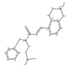 CN(C)CCN(Cc1ccccc1)C(=O)/C=C/c1cccc2c1CCN(C)C2